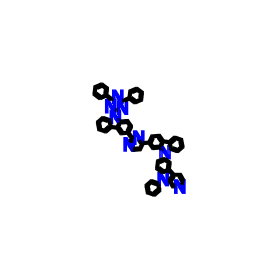 c1ccc(-c2nc(-c3ccccc3)nc(-n3c4ccccc4c4cc(-c5nccc(-c6ccc7c8ccccc8n(-c8ccc9c(c8)c8ccncc8n9-c8ccccc8)c7c6)n5)ccc43)n2)cc1